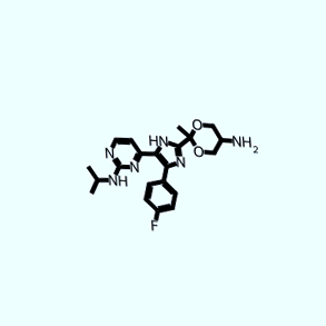 CC(C)Nc1nccc(-c2[nH]c(C3(C)OCC(N)CO3)nc2-c2ccc(F)cc2)n1